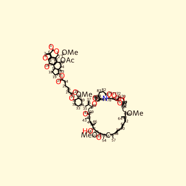 COC[C@H]1OC(=O)c2coc3c2[C@@]1(C)C1=C(C3=O)C2CC[C@H](OC(=O)CCCCC(=O)O[C@@H]3CC[C@@H](CC(C)[C@@H]4CC(=O)[C@H](C)/C=C(\C)[C@@H](O)[C@@H](OC)C(=O)[C@H](C)C[C@H](C)/C=C/C=C/C=C(\C)[C@@H](OC)C[C@@H]5CC[C@@H](C)[C@@](O)(O5)C(=O)C(=O)N5CCCC[C@H]5C(=O)O4)C[C@H]3OC)[C@@]2(C)C[C@H]1OC(C)=O